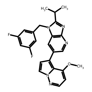 COc1ccnn2ccc(-c3cnc4nc(C(C)C)n(Cc5cc(F)cc(F)c5)c4c3)c12